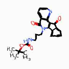 CC(C)(C)OC(=O)NCCCn1c2c(c3ncccc3c1=O)C(=O)c1ccccc1-2